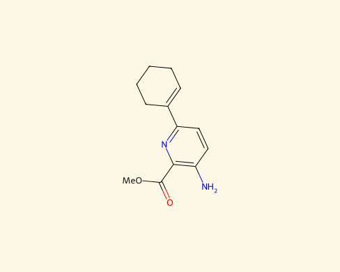 COC(=O)c1nc(C2=CCCCC2)ccc1N